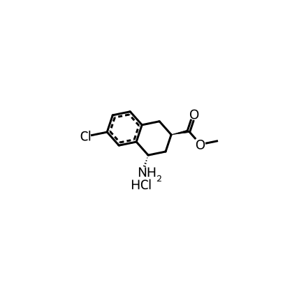 COC(=O)[C@@H]1Cc2ccc(Cl)cc2[C@@H](N)C1.Cl